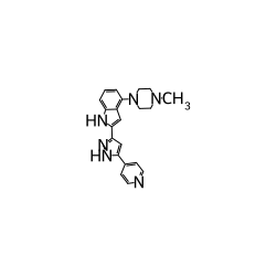 CN1CCN(c2cccc3[nH]c(-c4cc(-c5ccncc5)[nH]n4)cc23)CC1